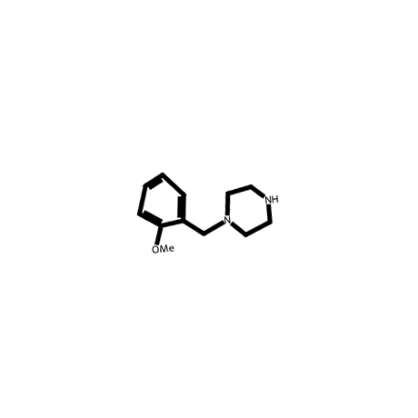 COc1c[c]ccc1CN1CCNCC1